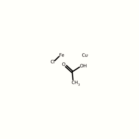 CC(=O)O.[Cl][Fe].[Cu]